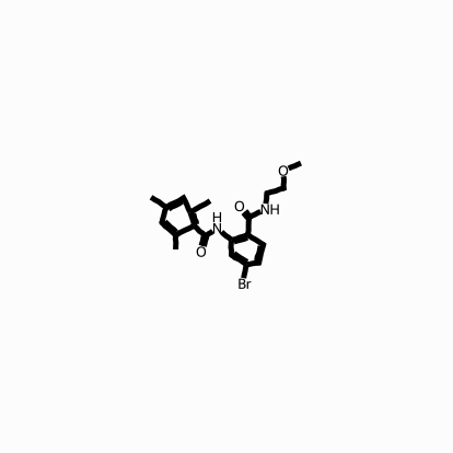 COCCNC(=O)c1ccc(Br)cc1NC(=O)c1c(C)cc(C)cc1C